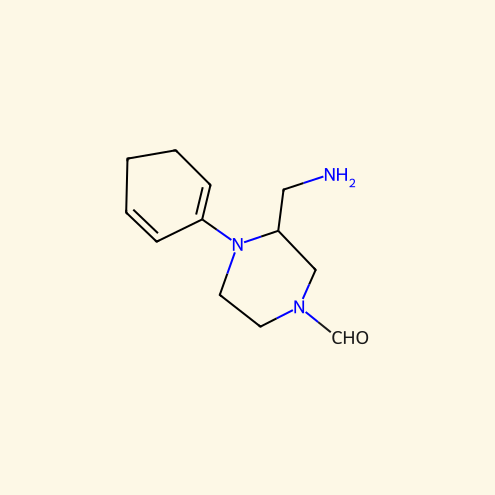 NCC1CN(C=O)CCN1C1=CCCC=C1